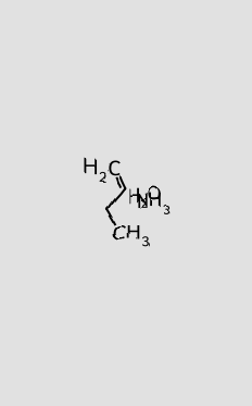 C=CCC.N.O